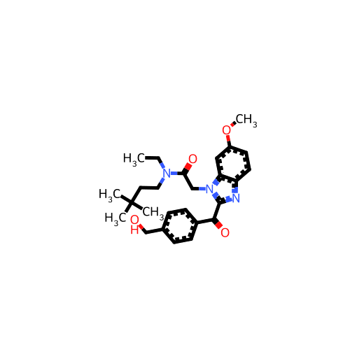 CCN(CCC(C)(C)C)C(=O)Cn1c(C(=O)c2ccc(CO)cc2)nc2ccc(OC)cc21